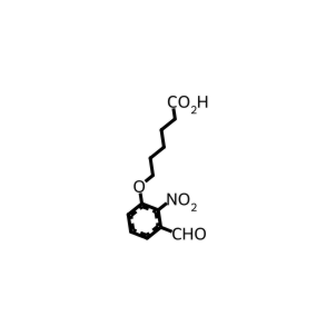 O=Cc1cccc(OCCCCCC(=O)O)c1[N+](=O)[O-]